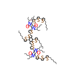 CCCCCCc1ccc(-c2ccc(-c3ccc(C4=C5C(=O)N(CC(CC)CCCC)C(c6ccc(-c7cc8c(-c9ccc(CCCCCC)s9)c9sc(-c%10ccc(C%11=C%12C(=O)N(CC(CC)CCCC)C(c%13ccc(-c%14ccc(-c%15ccc(CCCCCC)s%15)s%14)s%13)=C%12C(=O)N%11CC(CC)CCCC)s%10)cc9c(-c9ccc(CCCCCC)s9)c8s7)s6)=C5C(=O)N4CC(CC)CCCC)s3)s2)s1